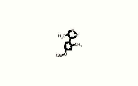 Cc1cc(OC(C)(C)C)ccc1-c1cnncc1C